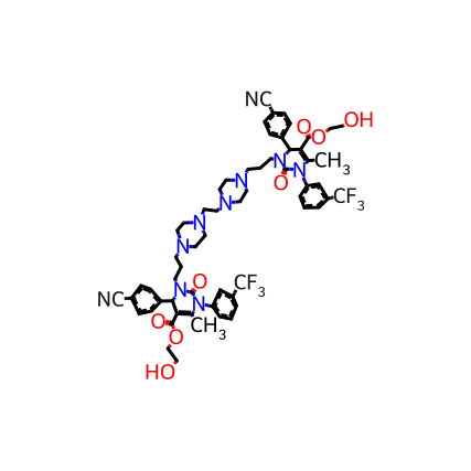 CC1=C(C(=O)OCCO)C(c2ccc(C#N)cc2)N(CCCN2CCN(CCN3CCN(CCCN4C(=O)N(c5cccc(C(F)(F)F)c5)C(C)=C(C(=O)OCCO)C4c4ccc(C#N)cc4)CC3)CC2)C(=O)N1c1cccc(C(F)(F)F)c1